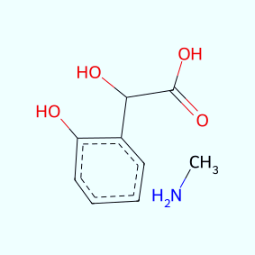 CN.O=C(O)C(O)c1ccccc1O